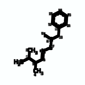 BC(C)C(C)C=NSB(I)Cc1ccccc1